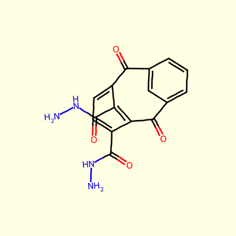 NNC(=O)c1ccc2c(C(=O)NN)c1c(=O)c1cccc(c1)c2=O